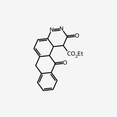 CCOC(=O)C1C(=O)N=NC2=CC=C3Cc4ccccc4C(=O)C3C21